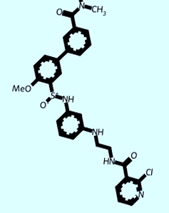 COc1ccc(-c2cccc(C(=O)N(C)C)c2)cc1[S+]([O-])Nc1cccc(NCCNC(=O)c2cccnc2Cl)c1